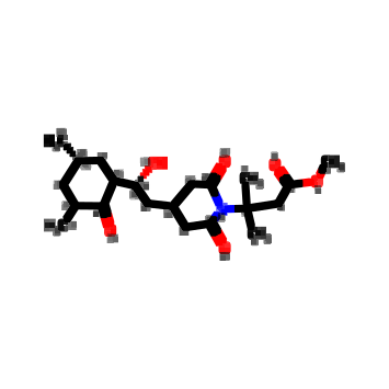 COC(=O)CC(C)(C)N1C(=O)CC(C[C@@H](O)C2C[C@@H](C)CC(C)C2=O)CC1=O